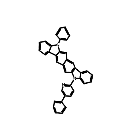 c1ccc(-c2ccc(-n3c4ccccc4c4cc5cc6c(cc5cc43)c3ccccc3n6-c3ccccc3)nc2)cc1